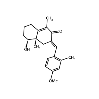 COc1ccc(/C=C2\C[C@@]3(C)C(=C(C)C2=O)CCC[C@@H]3O)c(C)c1